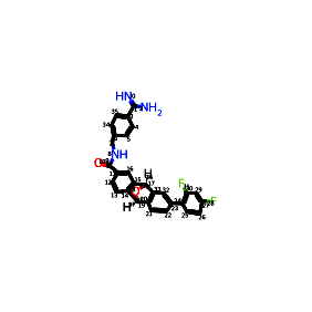 N=C(N)c1ccc(CNC(=O)c2ccc3c(c2)[C@@H]2O[C@H]3c3ccc(-c4ccc(F)cc4F)cc32)cc1